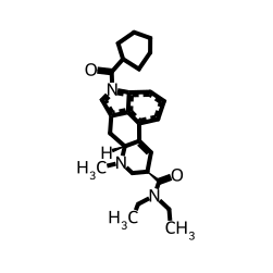 CCN(CC)C(=O)[C@@H]1C=C2c3cccc4c3c(cn4C(=O)C3CCCCC3)C[C@H]2N(C)C1